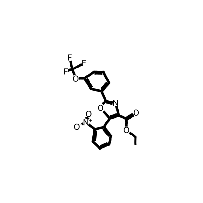 CCOC(=O)c1nc(-c2cccc(OC(F)(F)F)c2)oc1-c1ccccc1[N+](=O)[O-]